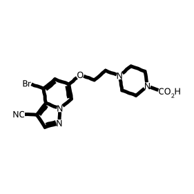 N#Cc1cnn2cc(OCCN3CCN(C(=O)O)CC3)cc(Br)c12